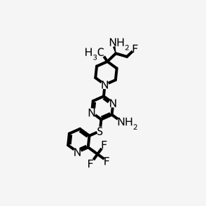 CC1([C@@H](N)CF)CCN(c2cnc(Sc3cccnc3C(F)(F)F)c(N)n2)CC1